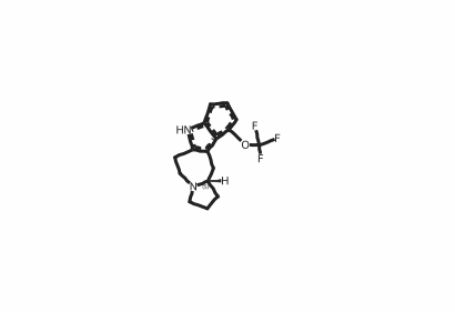 FC(F)(F)Oc1cccc2[nH]c3c(c12)C[C@@H]1CCCN1CC3